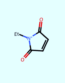 CC[N+]1C(=O)C=CC1=O